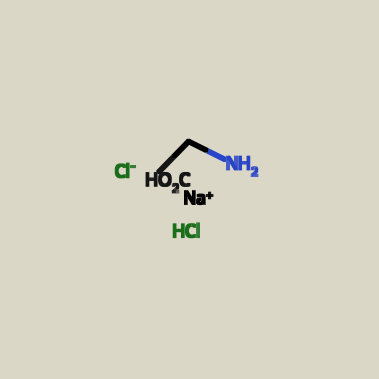 Cl.NCC(=O)O.[Cl-].[Na+]